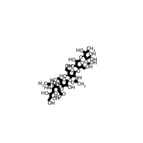 CC(=O)NC1C(O[C@@H]2OC(CO)[C@H](O)C(O[C@]3(C(=O)O)CC(O)[C@@H](NC(C)=O)C([C@H](O)[C@H](O)CO)O3)C2O)[C@@H](O)C(CO)O[C@H]1O[C@H]1C(CO)O[C@@H](O[C@H](C(CO)OCO)C(O)C(C)O)C(O)C1O